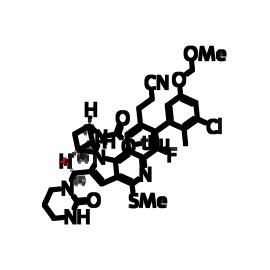 COCOc1cc(Cl)c(C)c(-c2c(CCC#N)cc3c(nc(SC)c4cc([C@@H](C)N5CCCNC5=O)n([C@H]5[C@@H]6C[C@H]5N(C(=O)OC(C)(C)C)C6)c43)c2F)c1